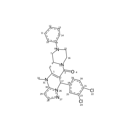 CC1=C(C(=O)N2CCN(c3ccccc3)CC2)C(c2ccc(Cl)c(Cl)c2)n2nccc2N1C